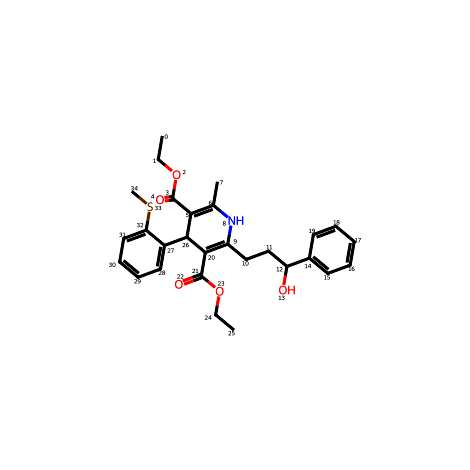 CCOC(=O)C1=C(C)NC(CCC(O)c2ccccc2)=C(C(=O)OCC)C1c1ccccc1SC